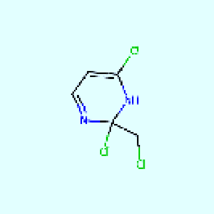 ClCC1(Cl)N=CC=C(Cl)N1